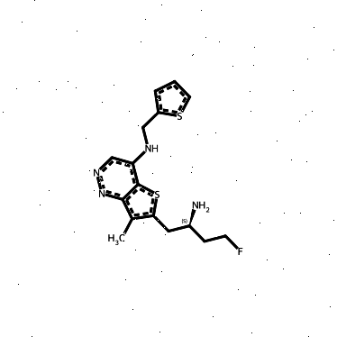 Cc1c(C[C@@H](N)CCF)sc2c(NCc3cccs3)cnnc12